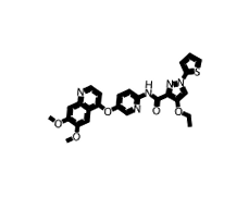 CCOc1cn(-c2cccs2)nc1C(=O)Nc1ccc(Oc2ccnc3cc(OC)c(OC)cc23)cn1